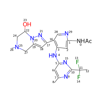 CC(=O)Nc1cc(Nc2cc(C)nc(C(C)(F)F)n2)c(-c2cc3n(n2)C(O)CN(C)C3)cn1